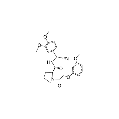 COc1cccc(OCC(=O)N2CCC[C@H]2C(=O)NC(C#N)c2ccc(OC)c(OC)c2)c1